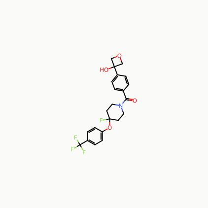 O=C(c1ccc(C2(O)COC2)cc1)N1CCC(F)(Oc2ccc(C(F)(F)F)cc2)CC1